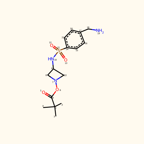 CC(C)(C)C(=O)ON1CC(NS(=O)(=O)c2ccc(CN)cc2)C1